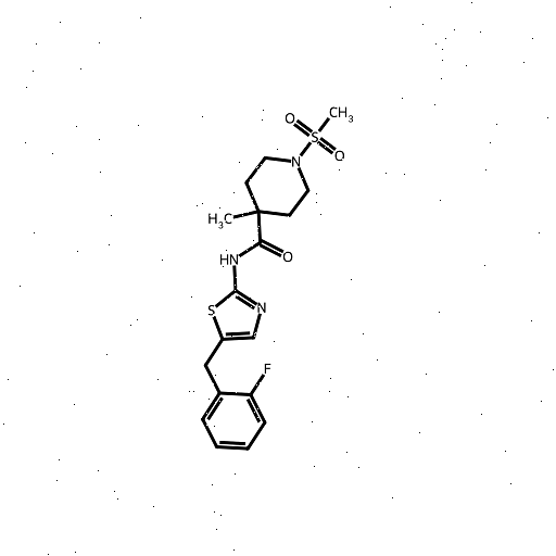 CC1(C(=O)Nc2ncc(Cc3ccccc3F)s2)CCN(S(C)(=O)=O)CC1